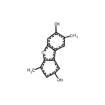 Cc1cc2c(cc1O)oc1c(C)cc(O)cc12